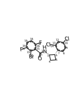 O=C(N[C@H]1CC[C@H]1c1ccc(Cl)cc1Cl)c1c(F)ccc(F)c1Br